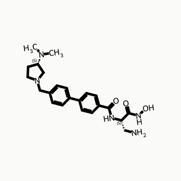 CN(C)[C@H]1CCN(Cc2ccc(-c3ccc(C(=O)N[C@@H](CN)C(=O)NO)cc3)cc2)C1